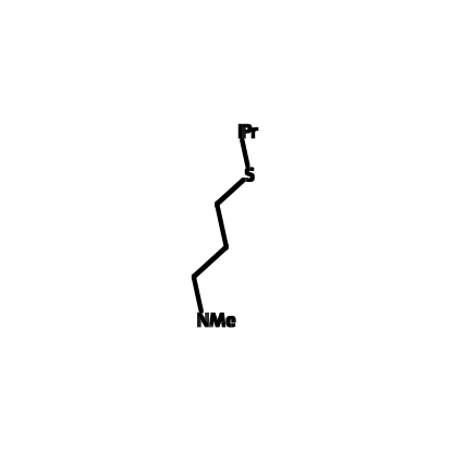 CNCCCSC(C)C